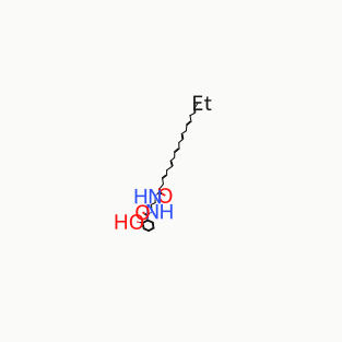 CCC=CCC=CCC=CCC=CCC=CCC=CCCC(=O)NCCNC(=O)c1ccccc1O